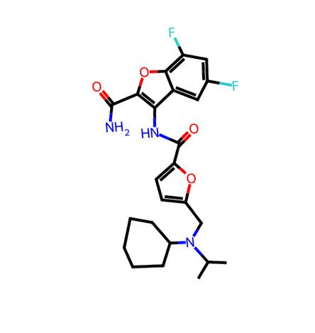 CC(C)N(Cc1ccc(C(=O)Nc2c(C(N)=O)oc3c(F)cc(F)cc23)o1)C1CCCCC1